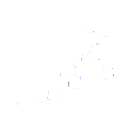 O=C(O)CCN1CCN(c2ncnc(Nc3nc(-c4cc(F)cc(C(F)(F)F)c4)c(CN4CCCC4)s3)c2F)CC1